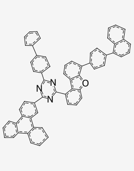 c1ccc(-c2ccc(-c3nc(-c4ccc5c6ccccc6c6ccccc6c5c4)nc(-c4cccc5oc6c(-c7ccc(-c8cccc9ccccc89)cc7)cccc6c45)n3)cc2)cc1